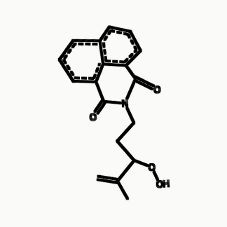 C=C(C)C(CCN1C(=O)c2cccc3cccc(c23)C1=O)OO